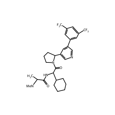 CNC(C)C(=O)NC(C(=O)N1CCCC1c1cncc(-c2cc(C(F)(F)F)cc(C(F)(F)F)c2)c1)C1CCCCC1